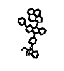 CCc1nc2ccccc2n1-c1ccc(-c2c3ccccc3c(-c3ccc4ccc5cccc6ccc3c4c56)c3cc(-c4ccccc4)ccc23)cc1